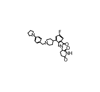 O=C1CCC(N2Cc3c(cc(F)cc3C3CCN(Cc4ccc(N5CCCC5)cc4)CC3)C2=O)C(=O)N1